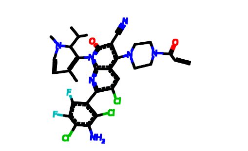 C=CC(=O)N1CCN(c2c(C#N)c(=O)n(C3=C(C)C=CN(C)C3C(C)C)c3nc(-c4c(F)c(F)c(Cl)c(N)c4Cl)c(Cl)cc23)CC1